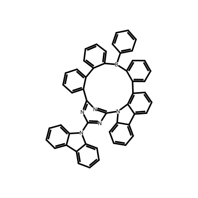 c1ccc(B2c3ccccc3-c3ccccc3-c3nc(-n4c5ccccc5c5ccccc54)nc(n3)-n3c4ccccc4c4cccc(c43)-c3ccccc32)cc1